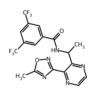 Cc1nc(-c2nccnc2C(C)NC(=O)c2cc(C(F)(F)F)cc(C(F)(F)F)c2)no1